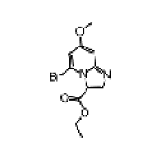 CCOC(=O)c1cnc2cc(OC)cc(Br)n12